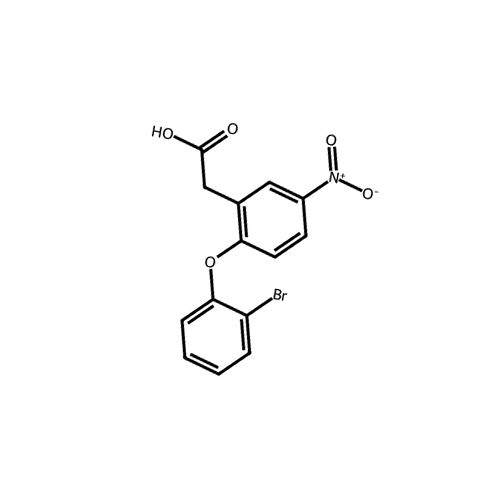 O=C(O)Cc1cc([N+](=O)[O-])ccc1Oc1ccccc1Br